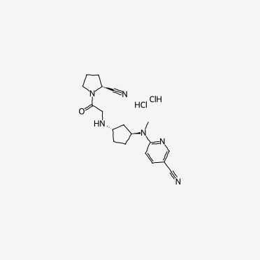 CN(c1ccc(C#N)cn1)[C@H]1CC[C@H](NCC(=O)N2CCC[C@H]2C#N)C1.Cl.Cl